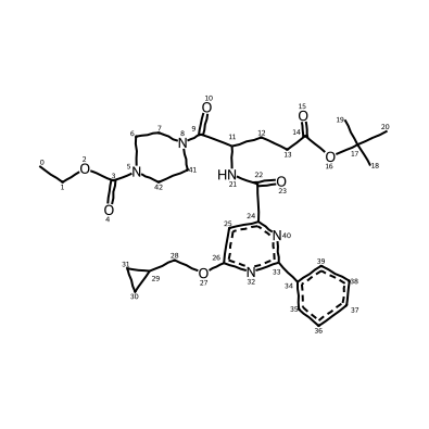 CCOC(=O)N1CCN(C(=O)C(CCC(=O)OC(C)(C)C)NC(=O)c2cc(OCC3CC3)nc(-c3ccccc3)n2)CC1